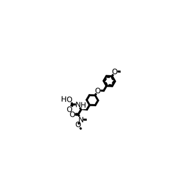 COc1ccc(COC2CCC(C[C@H](NC(=O)O)C(=O)N(C)OC)CC2)cc1